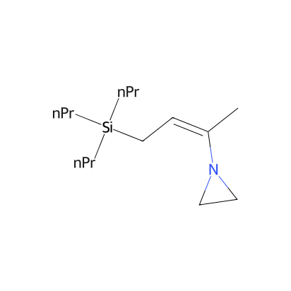 CCC[Si](C/C=C(/C)N1CC1)(CCC)CCC